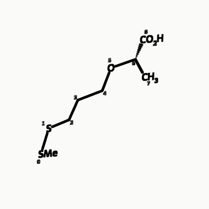 CSSCCCO[C@@H](C)C(=O)O